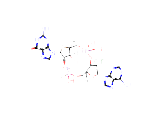 Nc1nc2c(ncn2[C@@H]2S[C@@H]3CO[PH](O)(O)O[C@H]4[C@H](F)[C@H](n5cnc6c(N)ncnc65)O[C@@H]4CO[PH](O)(S)O[C@@H]2[C@@H]3O)c(=O)[nH]1